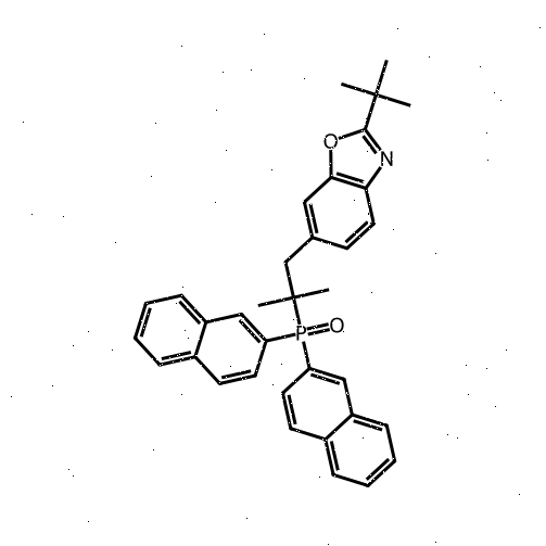 CC(C)(C)c1nc2ccc(CC(C)(C)P(=O)(c3ccc4ccccc4c3)c3ccc4ccccc4c3)cc2o1